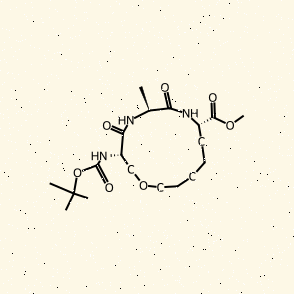 COC(=O)[C@@H]1CCCCCOC[C@H](NC(=O)OC(C)(C)C)C(=O)N[C@@H](C)C(=O)N1